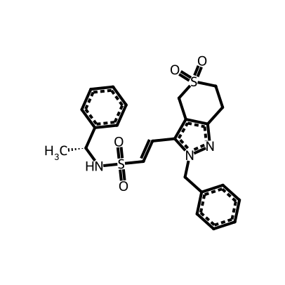 C[C@@H](NS(=O)(=O)/C=C/c1c2c(nn1Cc1ccccc1)CCS(=O)(=O)C2)c1ccccc1